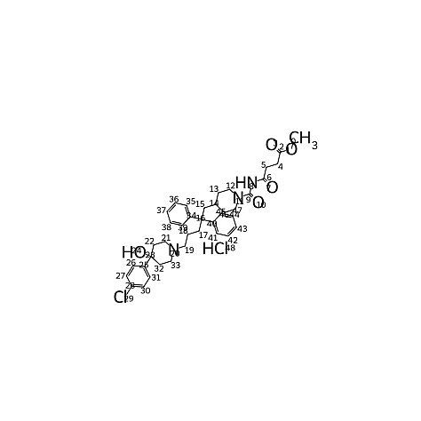 COC(=O)CCC(=O)NC(=O)N1CCC(CC(CCCN2CCC(O)(c3ccc(Cl)cc3)CC2)(c2ccccc2)c2ccccc2)CC1.Cl